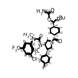 CN(C(=O)N(C)[C@@H]1CN(C(=O)[C@H]2CC[C@H](C(OC(N)=O)C(C)(C)C)CC2)C[C@H]1c1ccc(F)cc1)c1cc(C(F)(F)F)cc(C(F)(F)F)c1